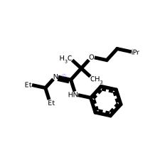 CCC(CC)/N=C(\Nc1ccccc1)C(C)(C)OCCC(C)C